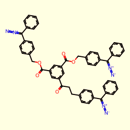 [N-]=[N+]=C(c1ccccc1)c1ccc(CCC(=O)c2cc(C(=O)OCc3ccc(C(=[N+]=[N-])c4ccccc4)cc3)cc(C(=O)OCc3ccc(C(=[N+]=[N-])c4ccccc4)cc3)c2)cc1